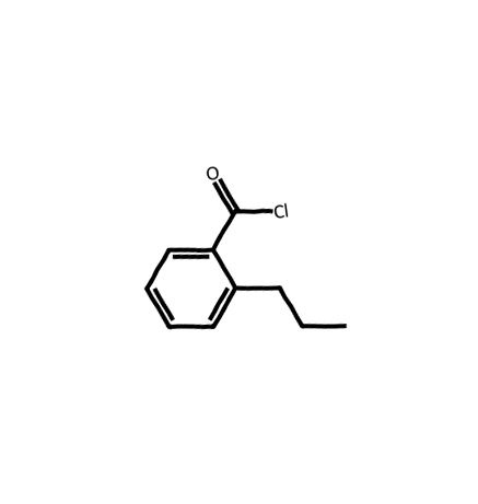 CCCc1ccccc1C(=O)Cl